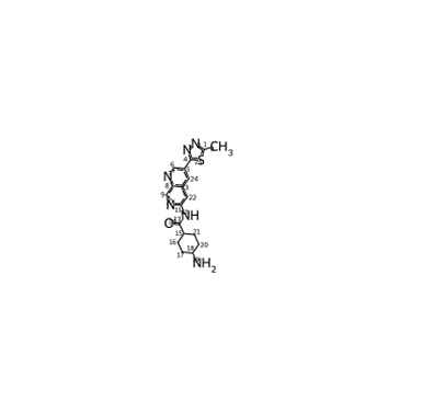 Cc1nnc(-c2cnc3cnc(NC(=O)C4CCC(N)CC4)cc3c2)s1